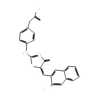 O=C(O)Cc1ccc(NC2=NC(=O)C(=Cc3cc4ccccc4cc3O)S2)cc1